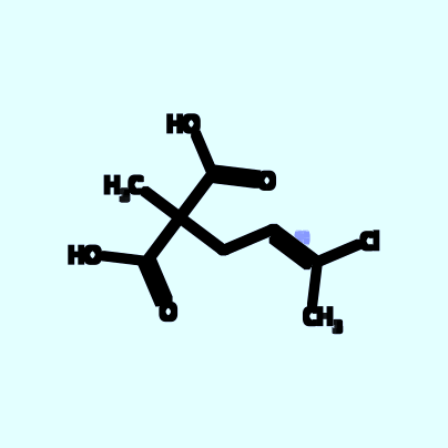 C/C(Cl)=C\CC(C)(C(=O)O)C(=O)O